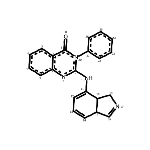 O=c1c2ccccc2nc(NC2=CC=CC3C=NCC23)n1-c1ccccc1